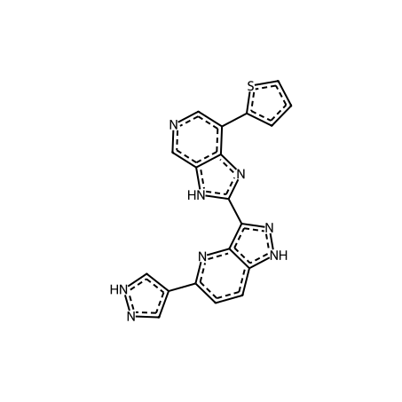 c1csc(-c2cncc3[nH]c(-c4n[nH]c5ccc(-c6cn[nH]c6)nc45)nc23)c1